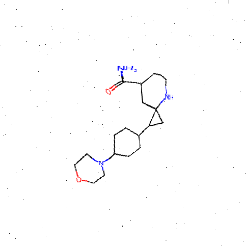 NC(=O)C1CCNC2(C1)CC2C1CCC(N2CCOCC2)CC1